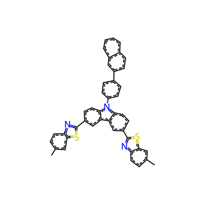 Cc1ccc2nc(-c3ccc4c(c3)c3cc(-c5nc6ccc(C)cc6s5)ccc3n4-c3ccc(-c4ccc5ccccc5c4)cc3)sc2c1